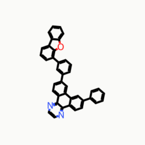 c1ccc(-c2ccc3c(c2)c2cc(-c4cccc(-c5cccc6c5oc5ccccc56)c4)ccc2c2nccnc32)cc1